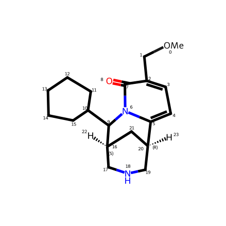 COCc1ccc2n(c1=O)C(C1CCCCC1)[C@@H]1CNC[C@H]2C1